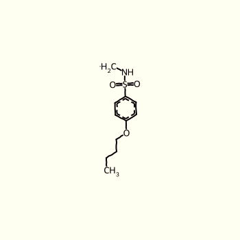 [CH2]NS(=O)(=O)c1ccc(OCCCC)cc1